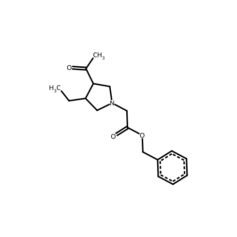 CCC1CN(CC(=O)OCc2ccccc2)CC1C(C)=O